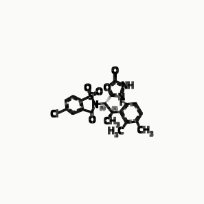 Cc1ccc(F)c([C@@H](C)[C@@H](c2n[nH]c(=O)o2)N2C(=O)c3cc(Cl)ccc3S2(=O)=O)c1C